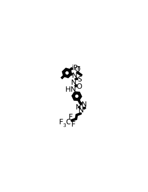 Cc1ccc(C(C)C)c(N2C(=O)CS/C2=N\C(=O)Nc2ccc(-c3ncn(CCCC(F)(F)C(F)(F)F)n3)cc2)c1